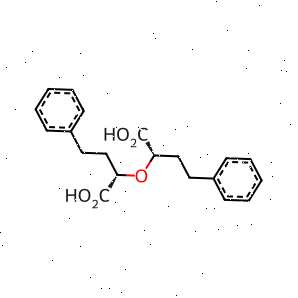 O=C(O)[C@@H](CCc1ccccc1)O[C@H](CCc1ccccc1)C(=O)O